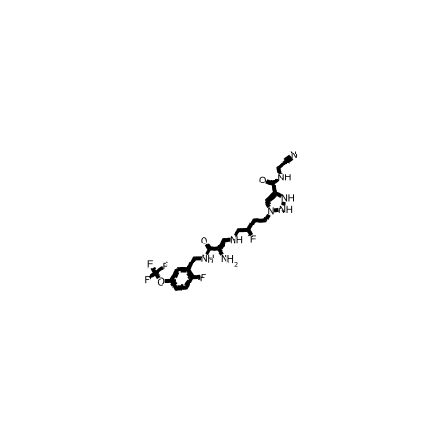 N#CCNC(=O)C1=CN(CCC(F)CN/C=C(\N)C(=O)NCc2cc(OC(F)(F)F)ccc2F)NN1